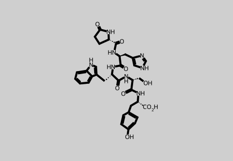 O=C1CC[C@@H](C(=O)N[C@@H](Cc2c[nH]cn2)C(=O)N[C@@H](Cc2c[nH]c3ccccc23)C(=O)N[C@H](CO)C(=O)N[C@@H](Cc2ccc(O)cc2)C(=O)O)N1